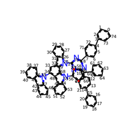 c1ccc(-c2ccc(-c3nc(-c4ccc(-c5ccccc5)cc4)nc(-n4c5ccccc5c5cc(-n6c7ccccc7c7ccccc76)c6c7ccccc7n(-c7ccc(-c8ccccc8)cc7)c6c54)n3)cc2)cc1